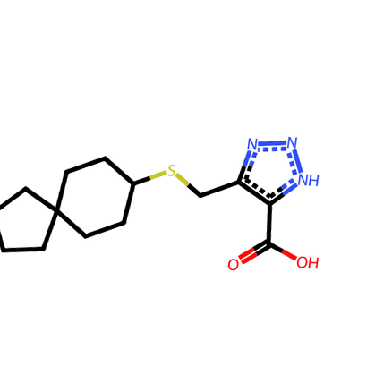 O=C(O)c1[nH]nnc1CSC1CCC2(CCCC2)CC1